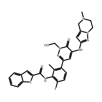 Cc1c(-c2cc(Nc3cc4n(n3)CCN(C)C4)c(=O)n(CO)n2)ccc(F)c1NC(=O)c1cc2ccccc2s1